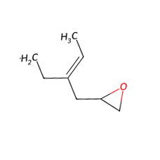 [CH2]CC(=CC)CC1CO1